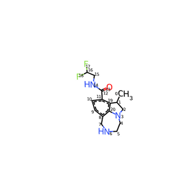 CC1CN2CCNCc3ccc(C(=O)NCC(F)F)c1c32